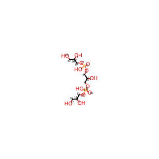 O=P(O)(OC[C@@H](O)COP(=O)(O)OC[C@@H](O)CO)OC[C@H](O)CO